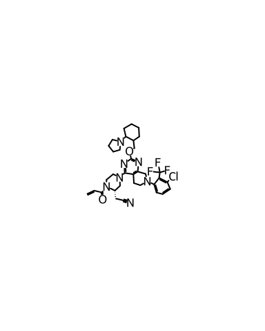 C=CC(=O)N1CCN(c2nc(OCC3CCCCC3N3CCCC3)nc3c2CCN(c2cccc(Cl)c2C(F)(F)F)C3)C[C@@H]1CC#N